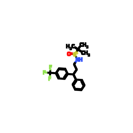 CC(C)(C)[S+]([O-])NCCC(c1ccccc1)c1ccc(C(F)(F)F)cc1